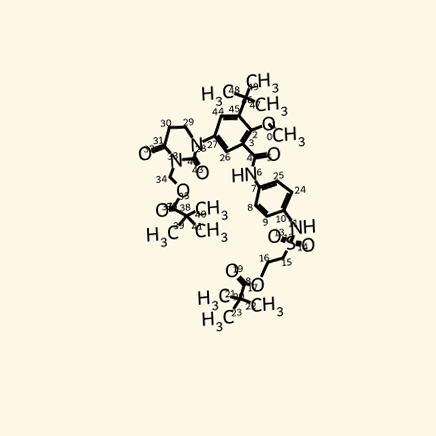 COc1c(C(=O)Nc2ccc(NS(=O)(=O)CCOC(=O)C(C)(C)C)cc2)cc(N2CCC(=O)N(COC(=O)C(C)(C)C)C2=O)cc1C(C)(C)C